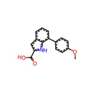 COc1ccc(-c2cccc3cc(C(=O)O)[nH]c23)cc1